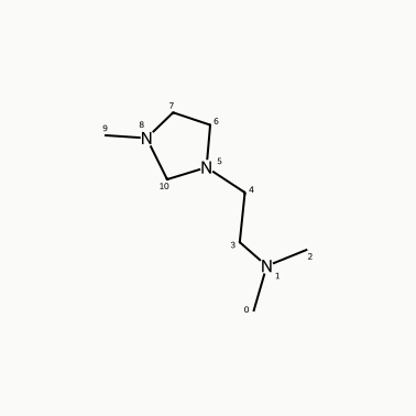 CN(C)CCN1CCN(C)C1